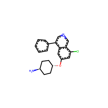 N[C@H]1CC[C@H](Oc2cc(Cl)c3cncc(-c4ccccc4)c3c2)CC1